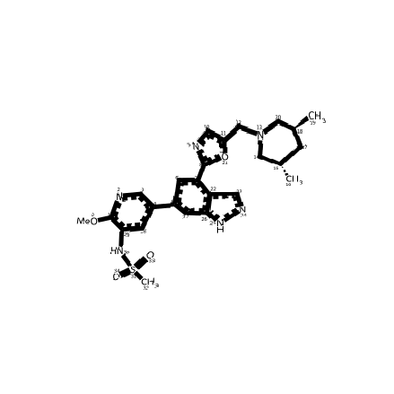 COc1ncc(-c2cc(-c3ncc(CN4C[C@@H](C)C[C@H](C)C4)o3)c3cn[nH]c3c2)cc1NS(C)(=O)=O